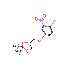 CC1(C)OCC(COc2ccc(Cl)c([N+](=O)[O-])c2)O1